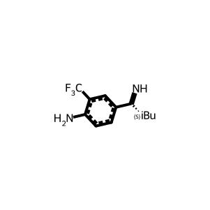 [CH2][C@@H](CC)C(=N)c1ccc(N)c(C(F)(F)F)c1